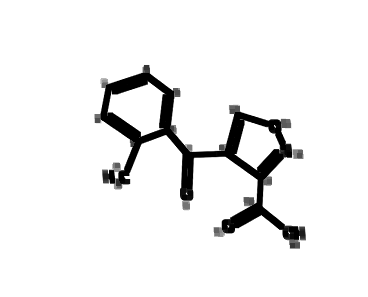 Cc1ccccc1C(=O)c1conc1C(=O)O